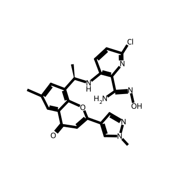 Cc1cc([C@@H](C)Nc2ccc(Cl)nc2/C(N)=N/O)c2oc(-c3cnn(C)c3)cc(=O)c2c1